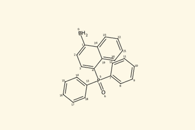 Bc1ccc(P(=O)(c2ccccc2)c2ccccc2)c2ccccc12